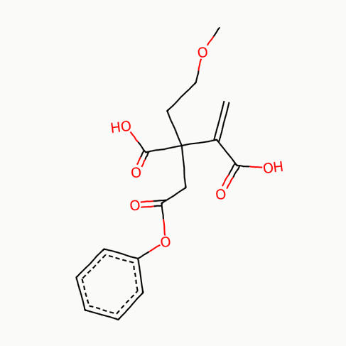 C=C(C(=O)O)C(CCOC)(CC(=O)Oc1ccccc1)C(=O)O